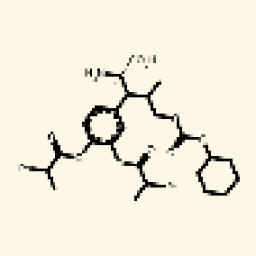 CC(C)C(C)C(=O)Oc1ccc(C(C(C)COC(=O)OC2CCCCC2)[C@H](N)C(=O)O)cc1OC(=O)C(C)C(C)C